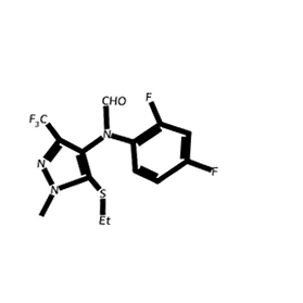 CCSc1c(N(C=O)c2ccc(F)cc2F)c(C(F)(F)F)nn1C